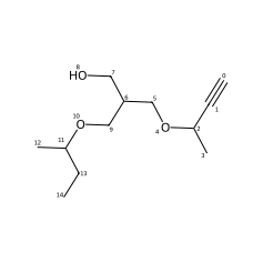 C#CC(C)OCC(CO)COC(C)CC